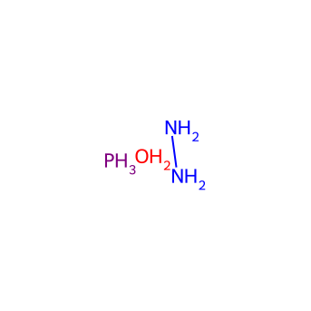 NN.O.P